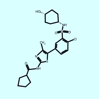 Cc1nc(NC(=O)C2CCCC2)sc1-c1ccc(Cl)c(S(=O)(=O)N[C@H]2CC[C@@H](O)CC2)c1